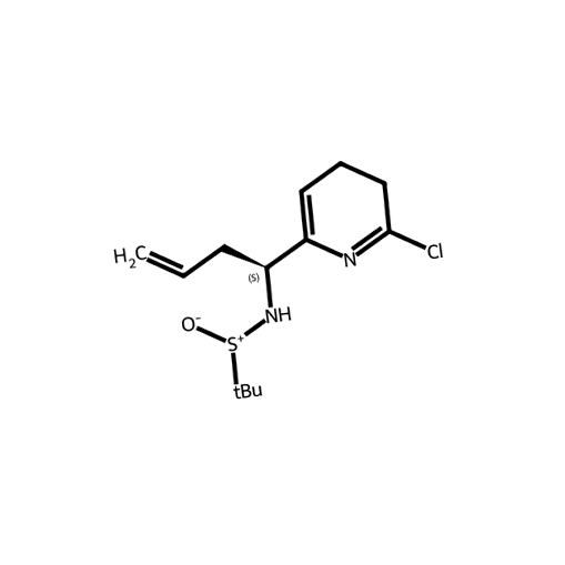 C=CC[C@H](N[S+]([O-])C(C)(C)C)C1=CCCC(Cl)=N1